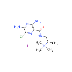 CC(CNC(=O)c1nc(Cl)c(N)nc1N)[N+](C)(C)C.[I-]